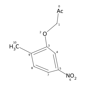 CC(=O)COc1cc([N+](=O)[O-])ccc1C